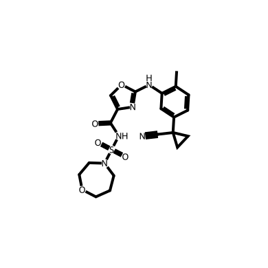 Cc1ccc(C2(C#N)CC2)cc1Nc1nc(C(=O)NS(=O)(=O)N2CCCOCC2)co1